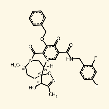 CC1=NO[C@@]2(CC[C@H](C)N3C[C@H]2n2cc(C(=O)NCc4ccc(F)cc4F)c(=O)c(OCc4ccccc4)c2C3=O)[C@@H]1O